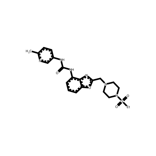 CCS(=O)(=O)N1CCN(Cc2nc3c(NC(=O)Nc4ccc(C)nc4)cccc3o2)CC1